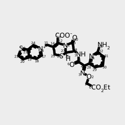 CCOC(=O)CO/N=C(/C(=O)NC1C(=O)N2C(C(=O)[O-])=C(C[n+]3ccc4ccsc4c3)CS[C@H]12)c1cccc(N)n1